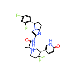 C[C@@H](C(=O)Nc1cn2c(n1)CC[C@H]2c1ccc(F)cc1F)N1CCC(F)(F)[C@@H](c2ccc(=O)[nH]c2)C1